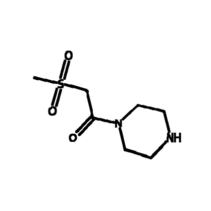 CS(=O)(=O)CC(=O)N1CCNCC1